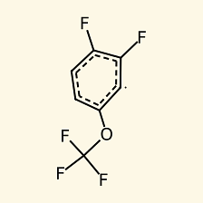 Fc1[c]c(OC(F)(F)F)ccc1F